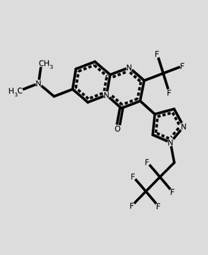 CN(C)Cc1ccc2nc(C(F)(F)F)c(-c3cnn(CC(F)(F)C(F)(F)F)c3)c(=O)n2c1